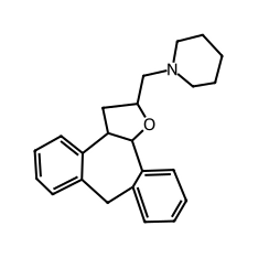 c1ccc2c(c1)Cc1ccccc1C1OC(CN3CCCCC3)CC21